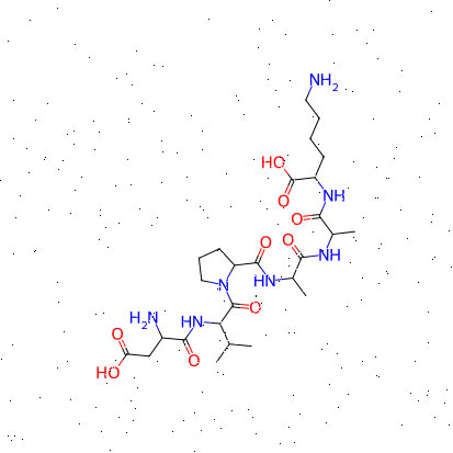 CC(NC(=O)C(C)NC(=O)C1CCCN1C(=O)C(NC(=O)C(N)CC(=O)O)C(C)C)C(=O)NC(CCCCN)C(=O)O